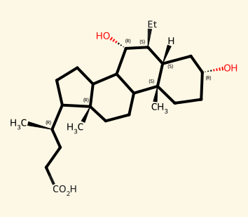 CC[C@@H]1[C@@H](O)C2C3CCC([C@H](C)CCC(=O)O)[C@@]3(C)CCC2[C@@]2(C)CC[C@@H](O)C[C@@H]12